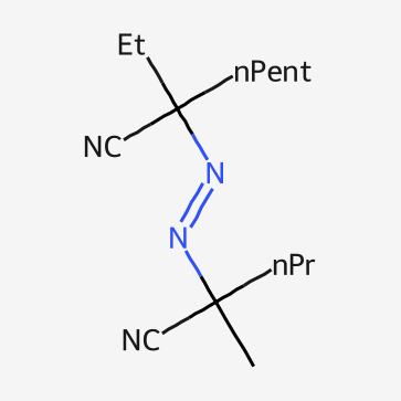 CCCCCC(C#N)(CC)N=NC(C)(C#N)CCC